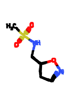 CS(=O)(=O)NCC1CC=NO1